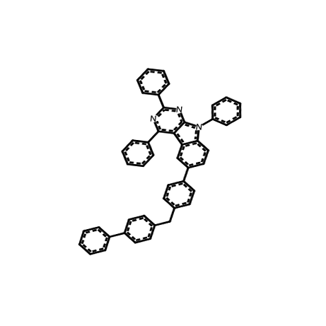 c1ccc(-c2ccc(Cc3ccc(-c4ccc5c(c4)c4c(-c6ccccc6)nc(-c6ccccc6)nc4n5-c4ccccc4)cc3)cc2)cc1